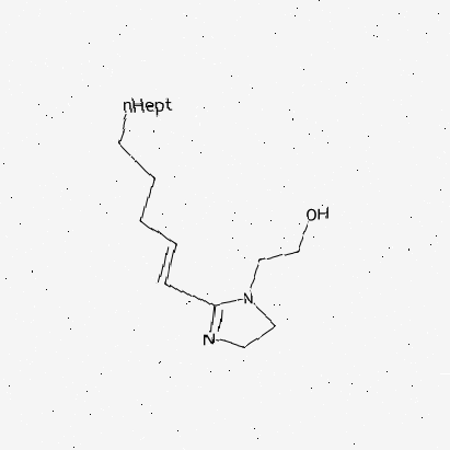 CCCCCCCCCC/C=C/C1=NCCN1CCO